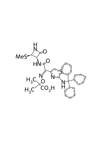 CS[C@H]1NC(=O)[C@H]1NC(=O)/C(=N/OC(C)(C)C(=O)O)c1csc(NC(c2ccccc2)(c2ccccc2)c2ccccc2)n1